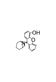 Oc1cccc2c(=[N+]3C4CCCC3CC4)c3ccccc3oc12